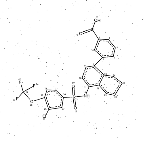 O=C(O)c1cccc(-c2ccc(NS(=O)(=O)c3ccc(OC(F)(F)F)c(Cl)c3)c3ccccc23)c1